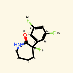 O=C1NCCCCC1(F)c1cc(F)cc(F)c1